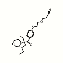 CCCCC(CC)(C(=O)c1ccc(SCCOCCC#N)cc1)N1CCOCC1